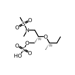 CC[C@H](C)O[C@H](COS(=O)(=O)O)CN(C)S(C)(=O)=O